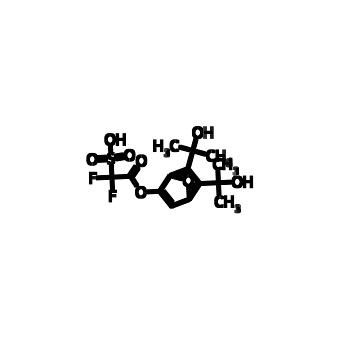 CC(C)(O)c1c(C(C)(C)O)c2oc1cc2OC(=O)C(F)(F)S(=O)(=O)O